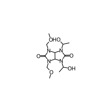 COCN1C(=O)N(COC)C2C1N(C(C)O)C(=O)N2C(C)O